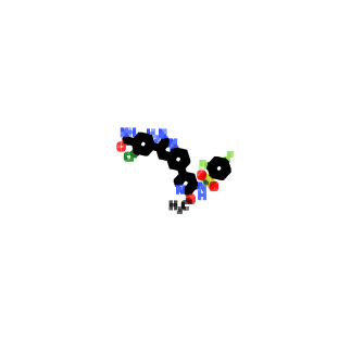 COc1ncc(-c2ccc3nc(N)c(-c4ccc(C(N)=O)c(Cl)c4)cc3c2)cc1NS(=O)(=O)c1ccc(F)cc1F